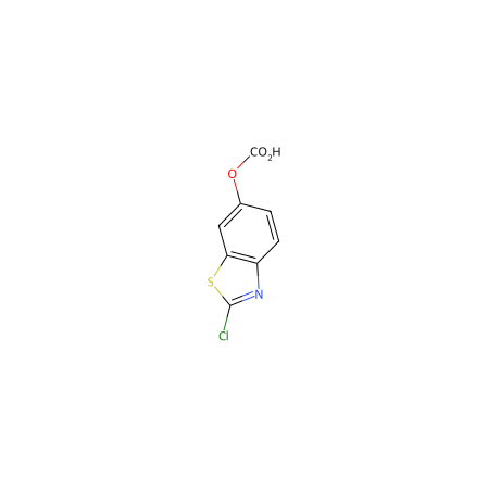 O=C(O)Oc1ccc2nc(Cl)sc2c1